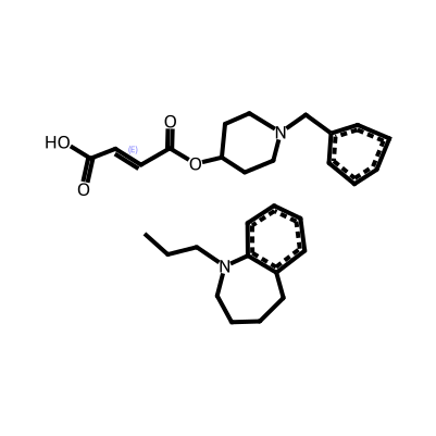 CCCN1CCCCc2ccccc21.O=C(O)/C=C/C(=O)OC1CCN(Cc2ccccc2)CC1